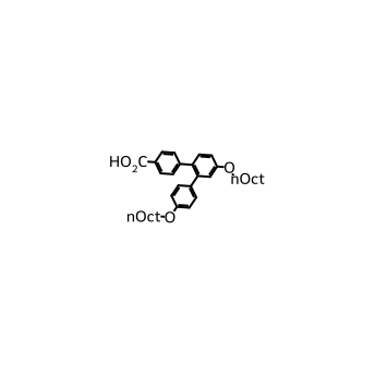 CCCCCCCCOc1ccc(-c2cc(OCCCCCCCC)ccc2-c2ccc(C(=O)O)cc2)cc1